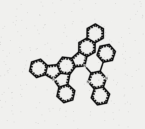 c1ccc(-c2nc3ccccc3nc2-n2c3cc4ccccc4cc3c3cc4c5ccccc5n5c6ccccc6c(c32)c45)cc1